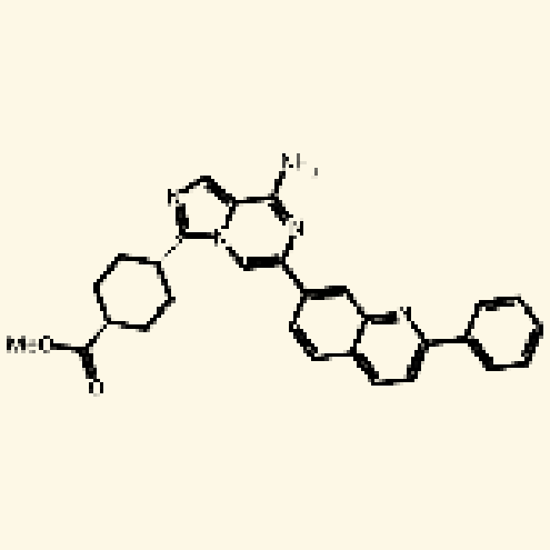 COC(=O)[C@H]1CC[C@H](c2ncc3c(N)nc(-c4ccc5ccc(-c6ccccc6)nc5c4)cn32)CC1